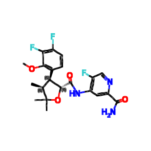 COc1c([C@H]2[C@H](C(=O)Nc3cc(C(N)=O)ncc3F)OC(C)(C)[C@H]2C)ccc(F)c1F